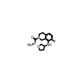 CC(C)(C)OC(=O)N1CCc2ccc(F)c(NC3CCOC3)c2C1